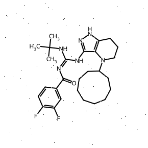 CC(C)(C)N/C(=N/C(=O)c1ccc(F)c(F)c1)Nc1n[nH]c2c1N(C1CCCCCCCC1)CCC2